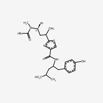 CCCCC(=O)N(C)[C@H](CC(OC(C)=O)c1nc(C(=O)NC(Cc2ccc(O)cc2)CC(C)C(=O)O)cs1)C(C)C